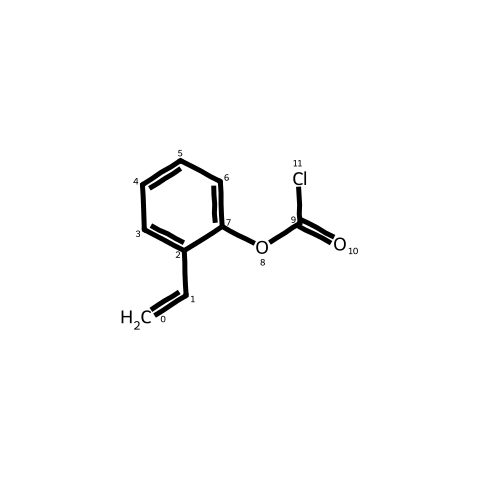 C=Cc1ccccc1OC(=O)Cl